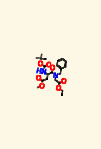 CCOC(=O)CN(Cc1ccccc1)C(=O)[C@@H](CC(=O)OC)NC(=O)OC(C)(C)C